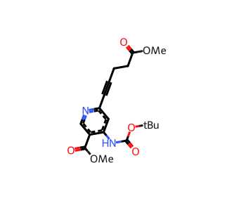 COC(=O)CCC#Cc1cc(NC(=O)OC(C)(C)C)c(C(=O)OC)cn1